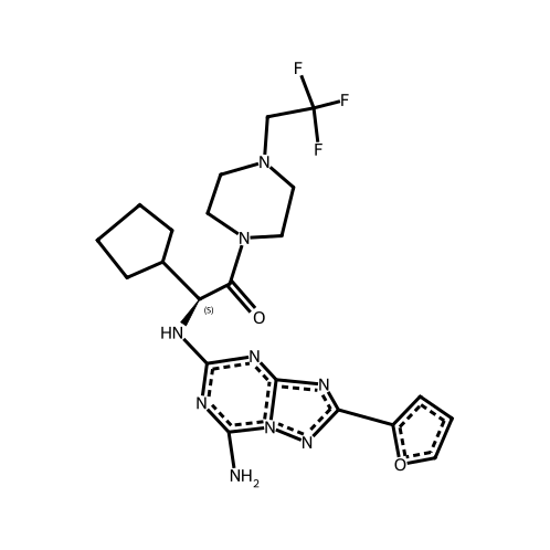 Nc1nc(N[C@H](C(=O)N2CCN(CC(F)(F)F)CC2)C2CCCC2)nc2nc(-c3ccco3)nn12